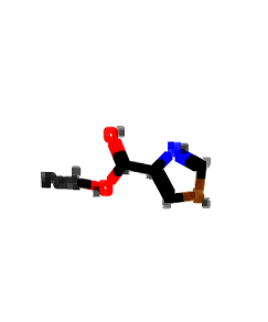 CCCC(C)OC(=O)c1cscn1